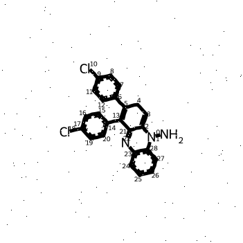 NN1C2=CCC(c3ccc(Cl)cc3)=C(c3ccc(Cl)cc3)C2=Nc2ccccc21